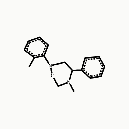 Cc1ccccc1N1CCN(C)C(c2ccccc2)C1